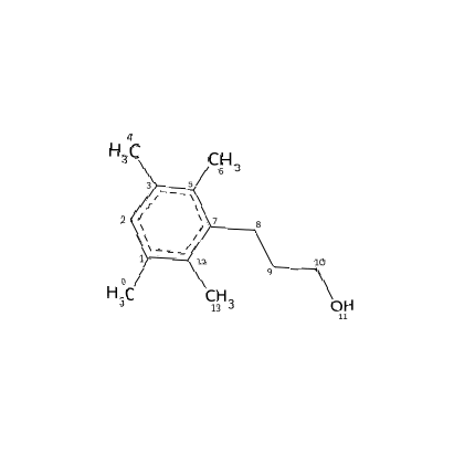 Cc1cc(C)c(C)c(CCCO)c1C